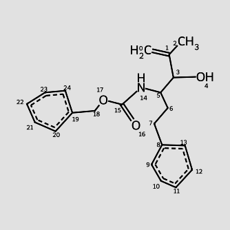 C=C(C)C(O)C(CCc1ccccc1)NC(=O)OCc1ccccc1